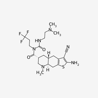 CN(C)CCNC(=O)N(CCC(F)(F)F)C(=O)[C@@H]1C[C@@H]2Cc3c(sc(N)c3C#N)C[C@H]2N(C)C1